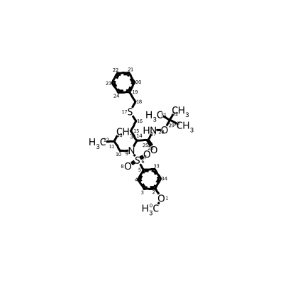 COc1ccc(S(=O)(=O)N(CC(C)C)C(CCSCc2ccccc2)C(=O)NOC(C)(C)C)cc1